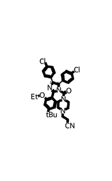 CCOc1cc(C(C)(C)C)ccc1C1=N[C@@H](c2ccc(Cl)cc2)[C@@H](c2ccc(Cl)cc2)N1C(=O)N1CCN(CCC#N)CC1